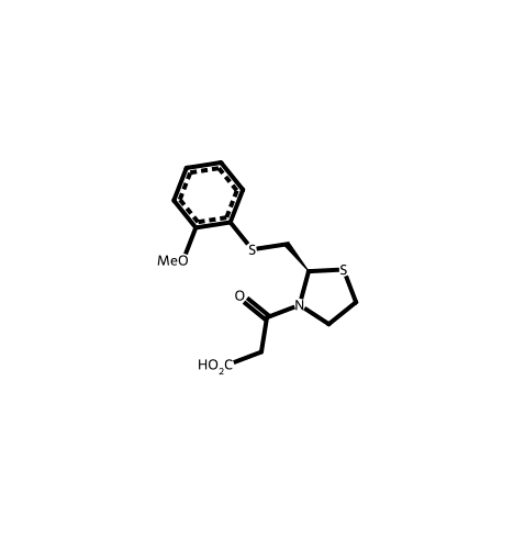 COc1ccccc1SC[C@H]1SCCN1C(=O)CC(=O)O